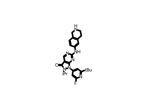 CC(C)n1c(=O)c2cnc(Nc3ccc4c(c3)CCNC4)nc2n1-c1cc(F)nc(C(C)(C)C)c1